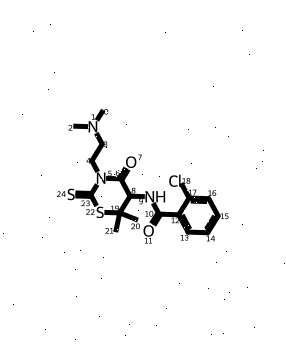 CN(C)CCN1C(=O)C(NC(=O)c2ccccc2Cl)C(C)(C)SC1=S